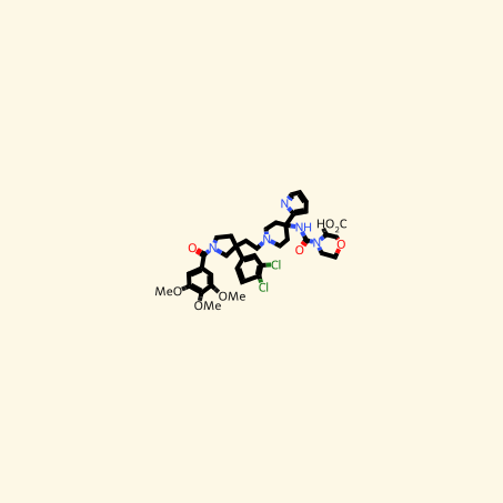 COc1cc(C(=O)N2CCC(CCN3CCC(NC(=O)N4CCOCC4C(=O)O)(c4ccccn4)CC3)(c3ccc(Cl)c(Cl)c3)C2)cc(OC)c1OC